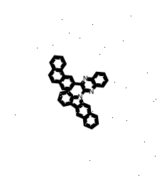 c1ccc2cc3c(cc2c1)c1ccccc1n3-c1nc2ccccc2nc1-c1ccc2ccc3ccccc3c2c1